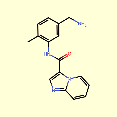 Cc1ccc(CN)cc1NC(=O)c1cnc2ccccn12